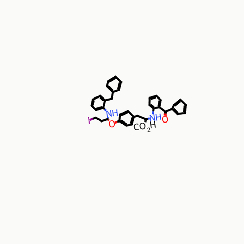 O=C(c1ccccc1)c1ccccc1NC(Cc1ccc(OC(CCI)Nc2ccccc2Cc2ccccc2)cc1)C(=O)O